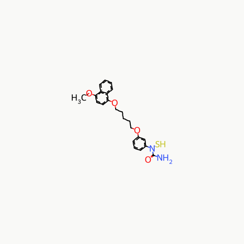 COc1ccc(OCCCCCOc2cccc(N(S)C(N)=O)c2)c2ccccc12